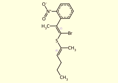 CCC/C=C(\C)S/C(Br)=C(\C)c1ccccc1[N+](=O)[O-]